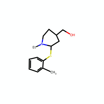 CCN1CCC(CO)CC1Sc1ccccc1C